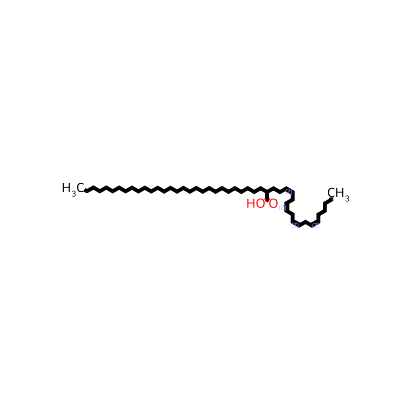 CCCCC/C=C\C/C=C\C/C=C\C/C=C\CCC(CCCCCCCCCCCCCCCCCCCCCCCCCCCCC)C(=O)O